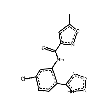 Cc1cc(C(=O)Nc2cc(Cl)ccc2-c2nnn[nH]2)no1